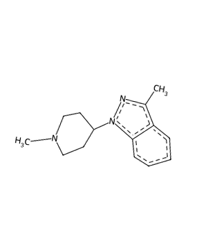 Cc1nn(C2CCN(C)CC2)c2ccccc12